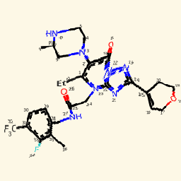 CCc1c(N2CCN[C@H](C)C2)c(=O)n2nc(C3=CCOCC3)nc2n1CC(=O)Nc1ccc(C(F)(F)F)c(F)c1C